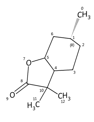 C[C@@H]1CCC2C(C1)OC(=O)C2(C)C